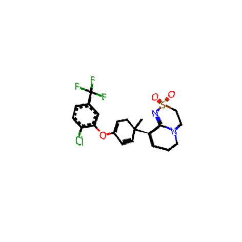 CC1([C@@H]2CCCN3CCS(=O)(=O)N=C23)C=CC(Oc2cc(C(F)(F)F)ccc2Cl)=CC1